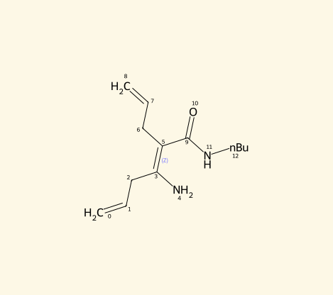 C=CC/C(N)=C(\CC=C)C(=O)NCCCC